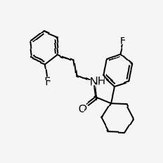 O=C(NCCc1ccccc1F)C1(c2ccc(F)cc2)CCCCC1